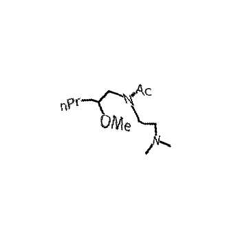 CCCC(CN(CCN(C)C)C(C)=O)OC